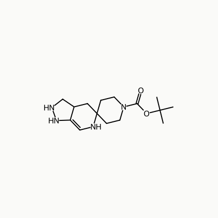 CC(C)(C)OC(=O)N1CCC2(CC1)CC1CNNC1=CN2